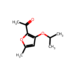 CC(=O)c1oc(C)cc1OC(C)C